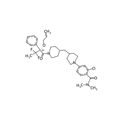 C=CCO[C@@](C(=O)N1CCC(CC2CCN(c3ccc(C(=O)N(C)C)c(Cl)c3)CC2)CC1)(c1ccccc1)C(C)(F)F